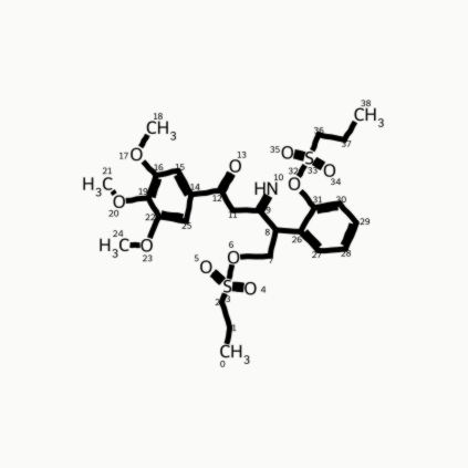 CCCS(=O)(=O)OCC(C(=N)CC(=O)c1cc(OC)c(OC)c(OC)c1)c1ccccc1OS(=O)(=O)CCC